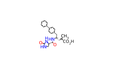 C[C@H](C[C@@H](Cc1ccc(-c2ccccc2)cc1)NC(=O)c1c[nH]c(=O)[nH]1)C(=O)O